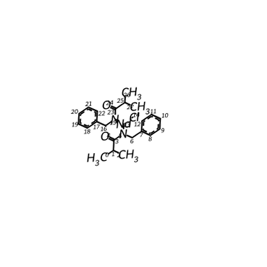 CC(C)C(=O)[N](Cc1ccccc1)[Nd]([Cl])[N](Cc1ccccc1)C(=O)C(C)C